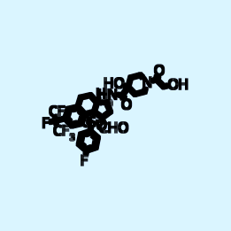 O=CC1C[C@@H](NC(=O)C2(O)CCN(C(=O)CO)CC2)[C@@H]2CCc3cc(C(F)(C(F)(F)F)C(F)(F)F)ccc3[C@@]12S(=O)(=O)c1ccc(F)cc1